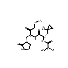 CC[C@@H](O)C(=O)N[C@@H](CC1(C)CC1)C(=O)N[C@@H](C[C@@H]1CCNC1=O)C(=O)COC(F)(F)F